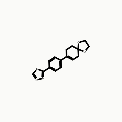 C1=C(c2ccc(-c3nnco3)cc2)CCC2(C1)OCCO2